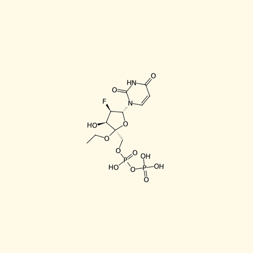 CCO[C@]1(COP(=O)(O)OP(=O)(O)O)O[C@@H](n2ccc(=O)[nH]c2=O)[C@H](F)[C@@H]1O